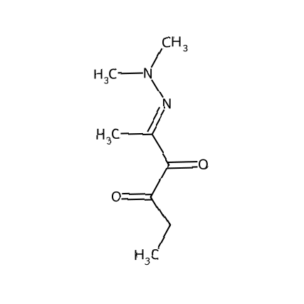 CCC(=O)C(=O)/C(C)=N/N(C)C